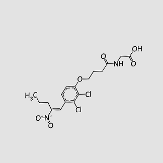 CCC/C(=C\c1ccc(OCCCC(=O)NCC(=O)O)c(Cl)c1Cl)[N+](=O)[O-]